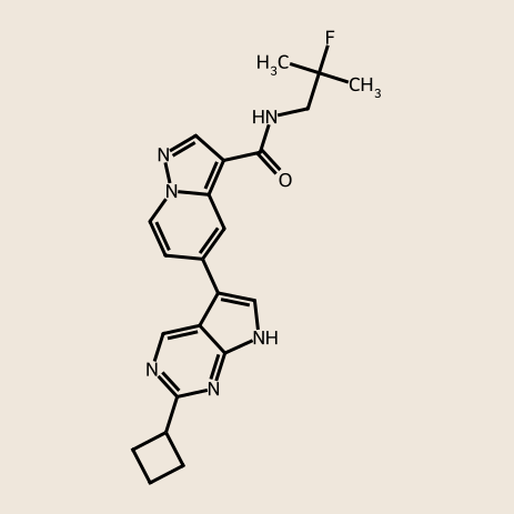 CC(C)(F)CNC(=O)c1cnn2ccc(-c3c[nH]c4nc(C5CCC5)ncc34)cc12